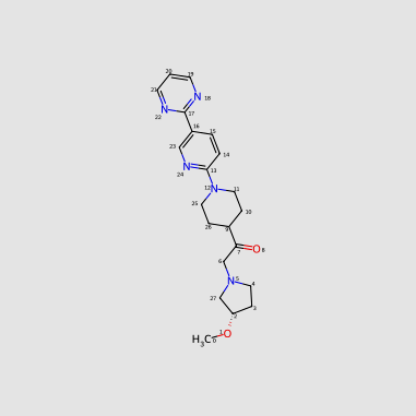 CO[C@H]1CCN(CC(=O)C2CCN(c3ccc(-c4ncccn4)cn3)CC2)C1